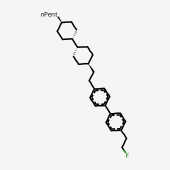 CCCCC[C@H]1CC[C@H]([C@H]2CC[C@H](CCc3ccc(-c4ccc(CCF)cc4)cc3)CC2)CC1